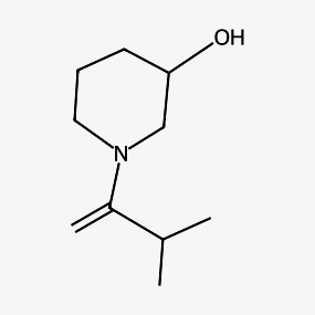 C=C(C(C)C)N1CCCC(O)C1